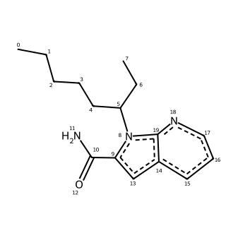 CCCCCC(CC)n1c(C(N)=O)cc2cccnc21